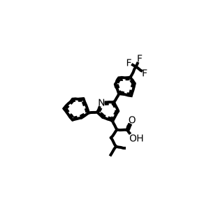 CC(C)CC(C(=O)O)c1cc(-c2ccccc2)nc(-c2ccc(C(F)(F)F)cc2)c1